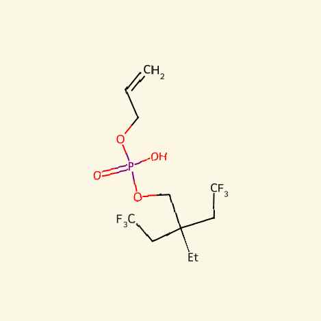 C=CCOP(=O)(O)OCC(CC)(CC(F)(F)F)CC(F)(F)F